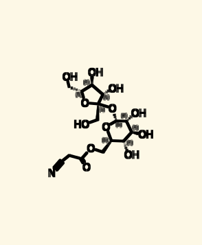 N#CCC(=O)OC[C@H]1O[C@H](O[C@]2(CO)O[C@H](CO)[C@@H](O)[C@@H]2O)[C@H](O)[C@@H](O)[C@@H]1O